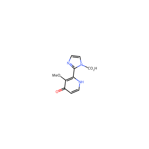 COc1c(-c2nccn2C(=O)O)[nH]ccc1=O